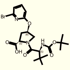 CC(C)(C)OC(=O)N[C@H](C(=O)N1C[C@H](Oc2cccc(Br)n2)C[C@H]1C(=O)O)C(C)(C)C